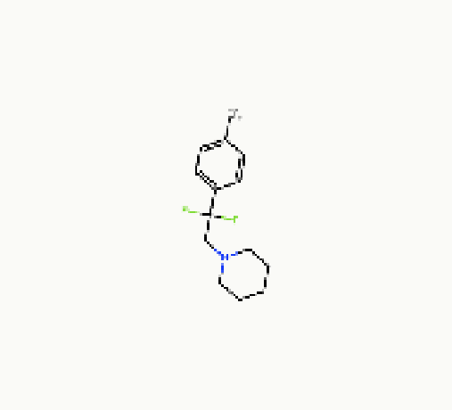 FC(F)(F)c1ccc(C(F)(F)CN2CCCCC2)cc1